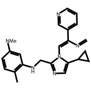 C=N/C(=C\n1c(C2CC2)cnc1CNc1cc(NC)ccc1C)c1cccnc1